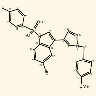 COc1ccc(Cn2cc(-c3cn(S(=O)(=O)c4ccc(C)cc4)c4ncc(Br)cc34)cn2)cc1